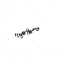 NC(=O)c1ccc(Cn2cnc3ccc(C#CCc4ccccc4)cc3c2=O)cc1